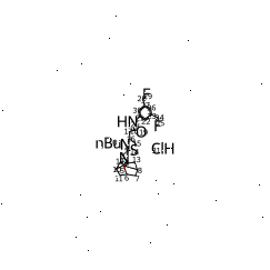 CCCCN1C(=NC23CC4CC(CC(C4)C2)C3)SCC1CC(=O)Nc1cc(CF)cc(CF)c1.Cl